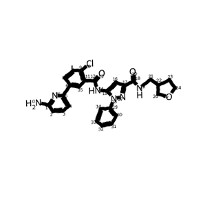 Nc1cccc(-c2ccc(Cl)c(C(=O)Nc3cc(C(=O)NCC4CCOC4)nn3-c3ccccc3)c2)n1